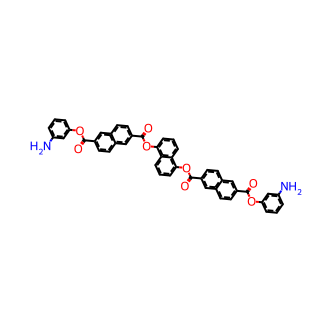 Nc1cccc(OC(=O)c2ccc3cc(C(=O)Oc4cccc5c(OC(=O)c6ccc7cc(C(=O)Oc8cccc(N)c8)ccc7c6)cccc45)ccc3c2)c1